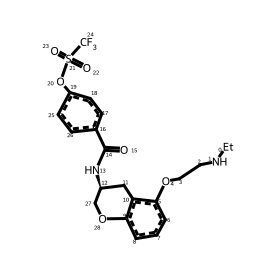 CCNCCOc1cccc2c1C[C@H](NC(=O)c1ccc(OS(=O)(=O)C(F)(F)F)cc1)CO2